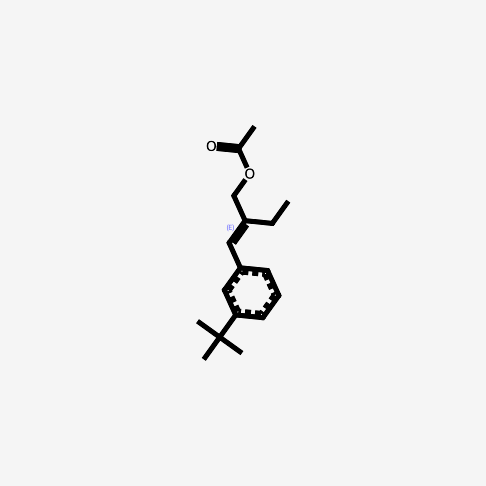 CC/C(=C\c1cccc(C(C)(C)C)c1)COC(C)=O